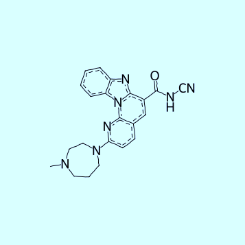 CN1CCCN(c2ccc3cc(C(=O)NC#N)c4nc5ccccc5n4c3n2)CC1